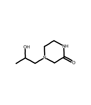 CC(O)CN1CCNC(=O)C1